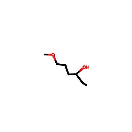 CCC(O)C[CH]COC